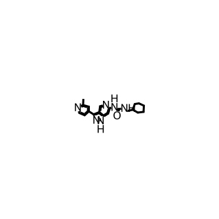 Cc1cc(-c2n[nH]c3cc(NC(=O)NCC4CCCCC4)ncc23)ccn1